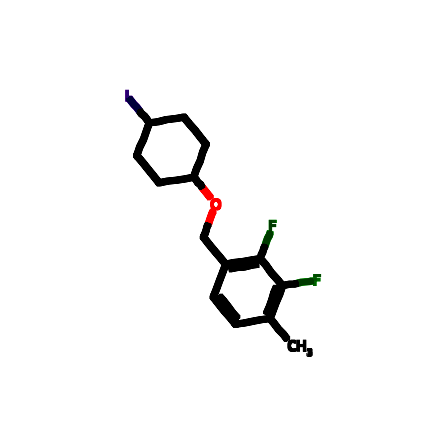 Cc1ccc(COC2CCC(I)CC2)c(F)c1F